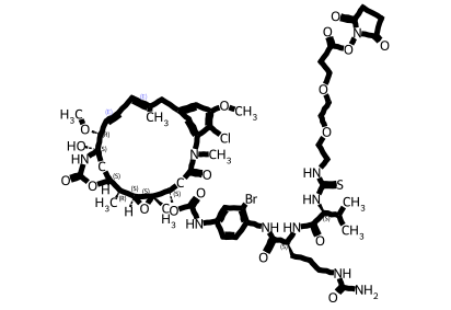 COc1cc2cc(c1Cl)N(C)C(=O)C[C@H](OC(=O)Nc1ccc(NC(=O)[C@H](CCCNC(N)=O)NC(=O)[C@@H](NC(=S)NCCOCCOCCC(=O)ON3C(=O)CCC3=O)C(C)C)c(Br)c1)[C@]1(C)O[C@H]1[C@H](C)[C@@H]1C[C@@](O)(NC(=O)O1)[C@H](OC)/C=C/C=C(\C)C2